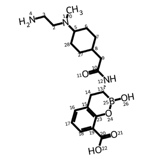 CN(CCN)C1CCC(CC(=O)N[C@H]2Cc3cccc(C(=O)O)c3OB2O)CC1